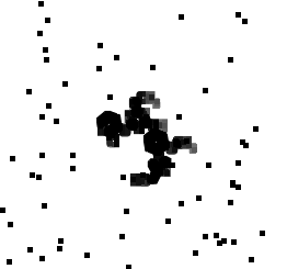 COc1nc(Nc2ccc(-n3cnc(CO)c3)c(OC)c2)nc(Oc2cccnc2Cl)n1